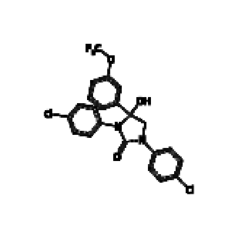 O=C1N(c2ccc(Cl)cc2)CC(O)(c2cccc(OC(F)(F)F)c2)N1c1ccc(Cl)cc1